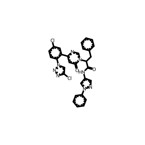 O=C(Nc1cnn(-c2ccccc2)c1)C(Cc1ccccc1)n1cnc(-c2cc(Cl)ccc2-n2cc(Cl)nn2)cc1=O